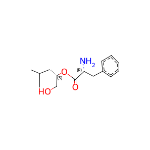 CC(C)C[C@@H](CO)OC(=O)[C@H](N)Cc1ccccc1